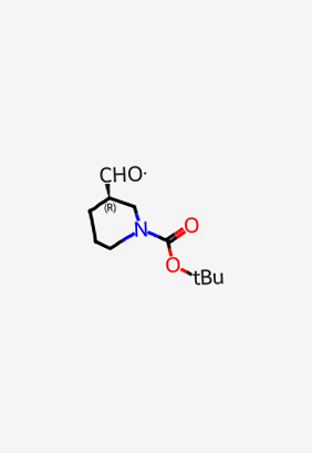 CC(C)(C)OC(=O)N1CCC[C@@H]([C]=O)C1